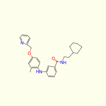 Cc1cc(OCc2ccccn2)ccc1Nc1cccc(C(=O)NCCC2CCCCC2)c1